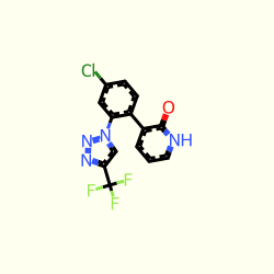 O=c1[nH]cccc1-c1ccc(Cl)cc1-n1cc(C(F)(F)F)nn1